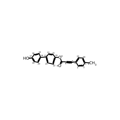 Cc1ccc(C#CC(=O)Oc2ccc(-c3ccc(O)cc3)cc2)cc1